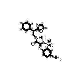 Nc1ccc2c(c1)S(=O)(=O)NC(C(=O)NCC(c1ccccc1)c1ncco1)=N2